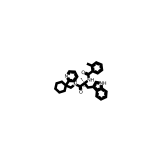 Cc1ccccc1C(=O)N[C@@](C)(Cc1c[nH]c2ccccc12)C(=O)NCC1(c2ccccn2)CCCCC1